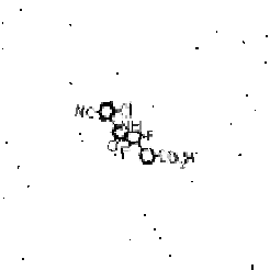 N#Cc1ccc(Cl)c(-c2cc(=O)c3c(F)c(-c4cccc(C(=O)O)c4)c(F)cc3[nH]2)c1